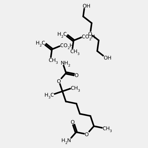 C=C(C)C(=O)O.C=C(C)C(=O)O.CC(CCCCC(C)(C)OC(N)=O)OC(N)=O.OCCOCCO